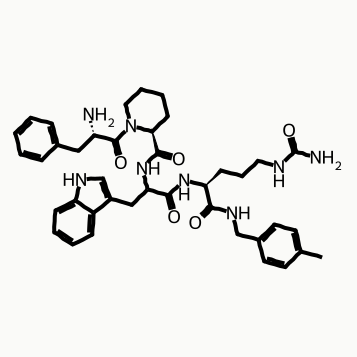 Cc1ccc(CNC(=O)[C@H](CCCNC(N)=O)NC(=O)C(Cc2c[nH]c3ccccc23)NC(=O)[C@@H]2CCCCN2C(=O)[C@@H](N)Cc2ccccc2)cc1